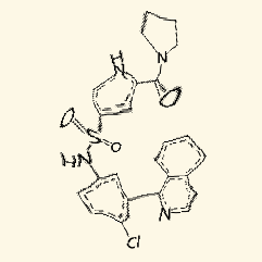 O=C(c1cc(S(=O)(=O)Nc2ccc(Cl)c(-c3nccc4ccccc34)c2)c[nH]1)N1CCCC1